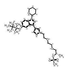 C[C@@H](COCCOCCn1cc(-c2nn(C3CCCCO3)c3ccc(O[Si](C)(C)C(C)(C)C)cc23)cn1)OS(C)(=O)=O